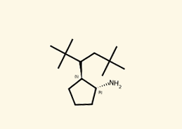 CC(C)(C)CC([C@@H]1CCC[C@H]1N)C(C)(C)C